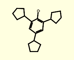 [O]c1c(C2CCCC2)cc(C2CCCC2)cc1C1CCCC1